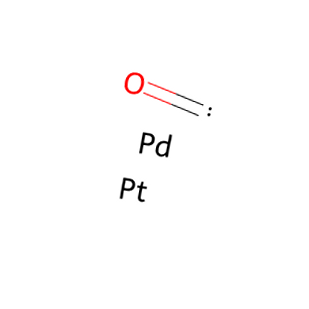 [C]=O.[Pd].[Pt]